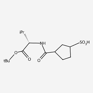 CC(C)[C@H](NC(=O)C1CCC(S(=O)(=O)O)C1)C(=O)OC(C)(C)C